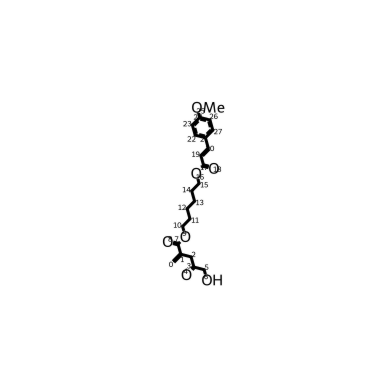 C=C(CC(=O)CO)C(=O)OCCCCCCOC(=O)/C=C/c1ccc(OC)cc1